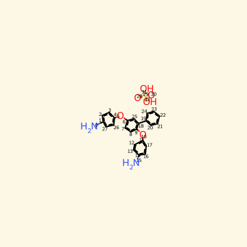 Nc1ccc(Oc2ccc(Oc3ccc(N)cc3)c(-c3ccccc3)c2)cc1.O=S(=O)(O)O